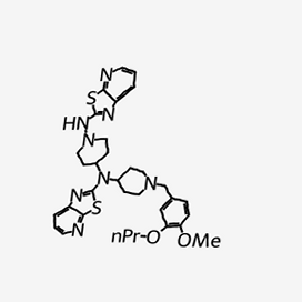 CCCOc1cc(CN2CCC(N(c3nc4cccnc4s3)C3CCN(Nc4nc5cccnc5s4)CC3)CC2)ccc1OC